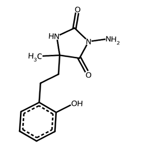 CC1(CCc2ccccc2O)NC(=O)N(N)C1=O